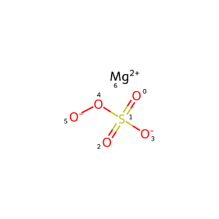 O=S(=O)([O-])O[O-].[Mg+2]